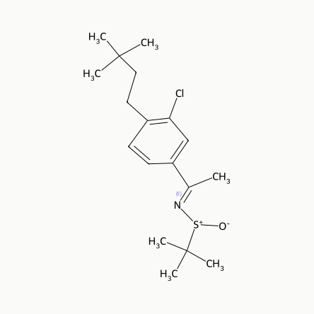 C/C(=N\[S+]([O-])C(C)(C)C)c1ccc(CCC(C)(C)C)c(Cl)c1